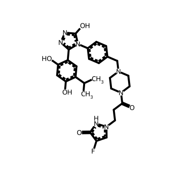 CC(C)c1cc(-c2nnc(O)n2-c2ccc(CN3CCN(C(=O)CCn4cc(F)c(=O)[nH]4)CC3)cc2)c(O)cc1O